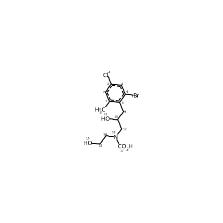 Cc1cc(Cl)cc(Br)c1CC(O)CN(CCO)C(=O)O